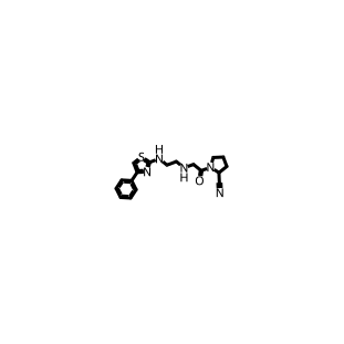 N#CC1CCCN1C(=O)CNCCNc1nc(-c2ccccc2)cs1